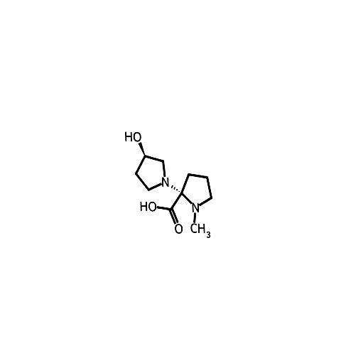 CN1CCC[C@@]1(C(=O)O)N1CC[C@@H](O)C1